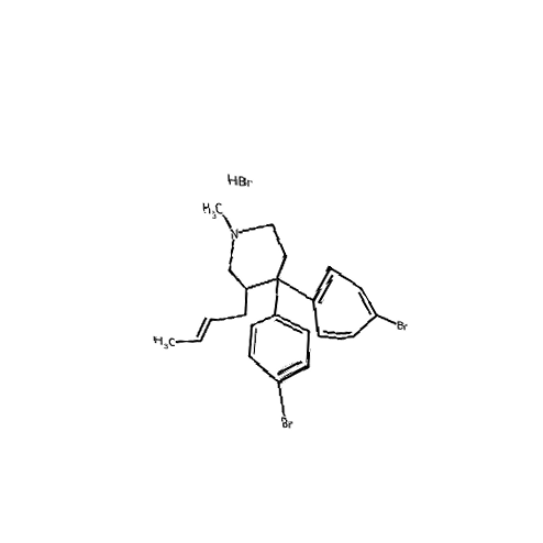 Br.CC=CCC1CN(C)CCC1(c1ccc(Br)cc1)c1ccc(Br)cc1